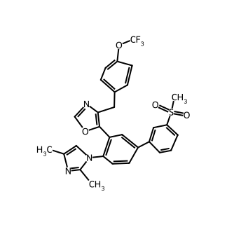 Cc1cn(-c2ccc(-c3cccc(S(C)(=O)=O)c3)cc2-c2ocnc2Cc2ccc(OC(F)(F)F)cc2)c(C)n1